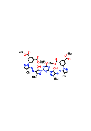 CCCCOC(=O)c1cc(C(=O)OCCCC)cc(-n2ncc(C#N)c2N=Nc2c(C(C)(C)C)nn(-c3nc(OCCCC)nc(-n4nc(C(C)(C)C)c(N=Nc5c(C#N)cnn5-c5cc(C(=O)OCCCC)cc(C(=O)OCCCC)c5)c4O)n3)c2O)c1